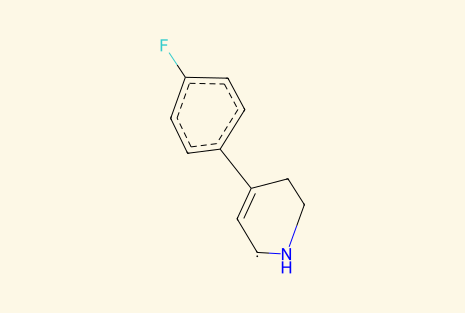 Fc1ccc(C2=C[CH]NCC2)cc1